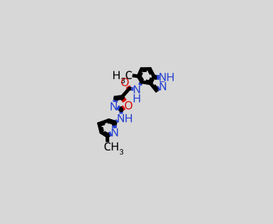 Cc1cccc(Nc2ncc(C(=O)Nc3c(C)ccc4[nH]ncc34)o2)n1